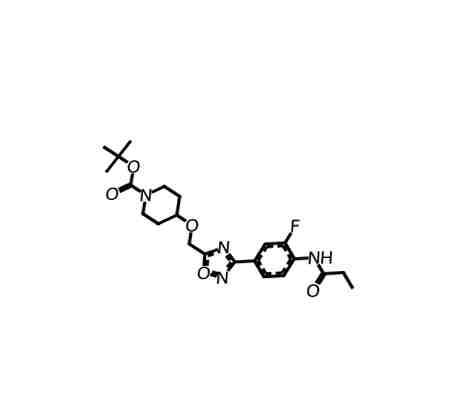 CCC(=O)Nc1ccc(-c2noc(COC3CCN(C(=O)OC(C)(C)C)CC3)n2)cc1F